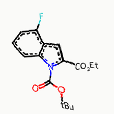 CCOC(=O)c1cc2c(F)cccc2n1C(=O)OC(C)(C)C